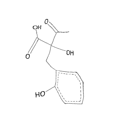 CC(=O)C(O)(Cc1ccccc1O)C(=O)O